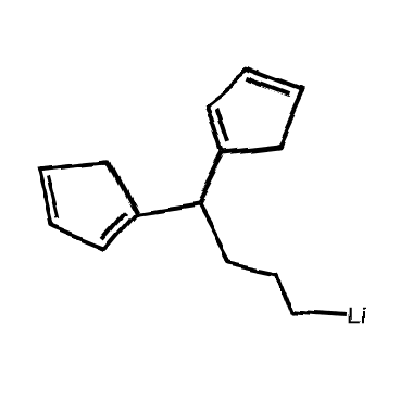 [Li][CH2]CCC(C1=CC=CC1)C1=CC=CC1